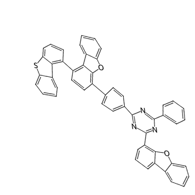 c1ccc(-c2nc(-c3ccc(-c4ccc(-c5cccc6sc7ccccc7c56)c5c4oc4ccccc45)cc3)nc(-c3cccc4c3oc3ccccc34)n2)cc1